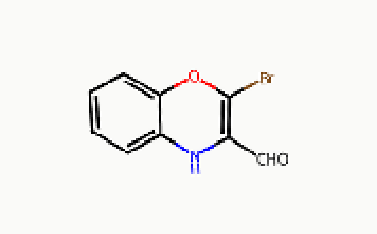 O=CC1=C(Br)Oc2ccccc2N1